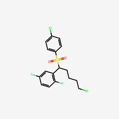 O=S(=O)(c1ccc(Cl)cc1)C(CCCCCl)c1cc(F)ccc1F